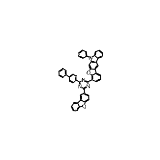 c1ccc(-c2ccc(-c3nc(-c4ccc5oc6ccccc6c5c4)nc(-c4cccc5c4oc4cc6c(cc45)c4ccccc4n6-c4ccccc4)n3)cc2)cc1